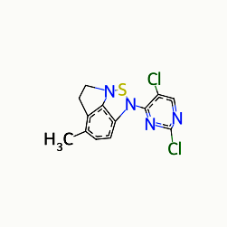 Cc1ccc2c3c1CCN3SN2c1nc(Cl)ncc1Cl